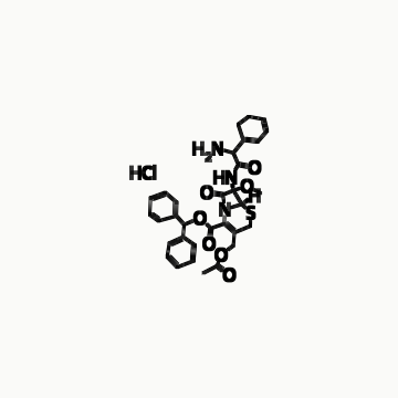 CO[C@@]1(NC(=O)C(N)C2=CC=CCC2)C(=O)N2C(C(=O)OC(c3ccccc3)c3ccccc3)=C(COC(C)=O)CS[C@H]21.Cl